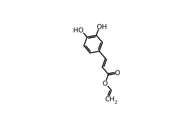 C=COC(=O)C=Cc1ccc(O)c(O)c1